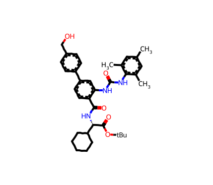 Cc1cc(C)c(NC(=O)Nc2cc(-c3ccc(CO)cc3)ccc2C(=O)N[C@H](C(=O)OC(C)(C)C)C2CCCCC2)c(C)c1